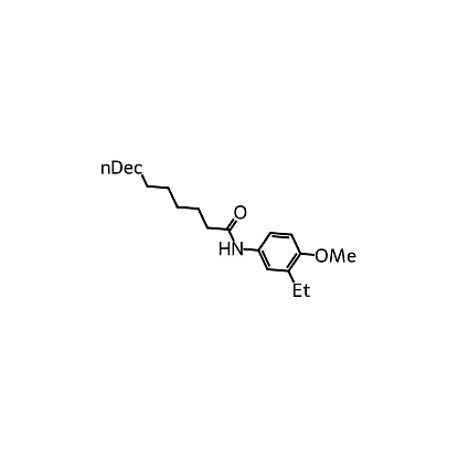 CCCCCCCCCCCCCCCC(=O)Nc1ccc(OC)c(CC)c1